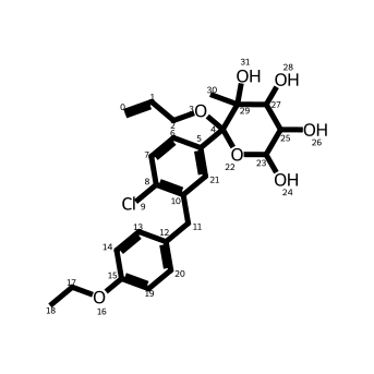 C=CCOC1(c2ccc(Cl)c(Cc3ccc(OCC)cc3)c2)OC(O)C(O)C(O)C1(C)O